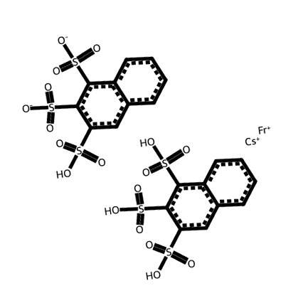 O=S(=O)(O)c1cc2ccccc2c(S(=O)(=O)O)c1S(=O)(=O)O.O=S(=O)([O-])c1c(S(=O)(=O)O)cc2ccccc2c1S(=O)(=O)[O-].[Cs+].[Fr+]